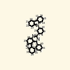 c1ccc(-c2nc(-c3cccc(-n4c5ccccc5c5ccccc54)c3)nc3ccc4sc5ccccc5c4c23)cc1